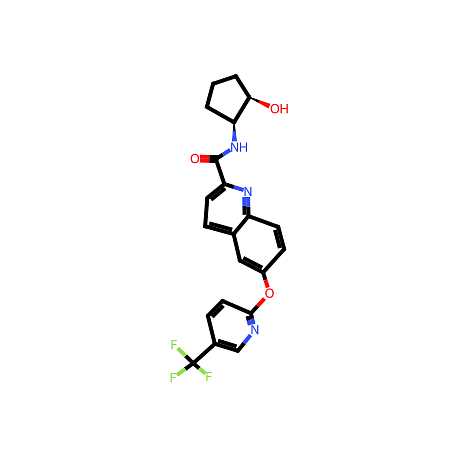 O=C(N[C@H]1CCC[C@H]1O)c1ccc2cc(Oc3ccc(C(F)(F)F)cn3)ccc2n1